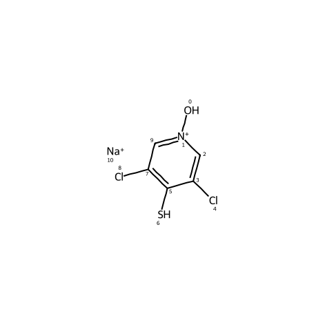 O[n+]1cc(Cl)c(S)c(Cl)c1.[Na+]